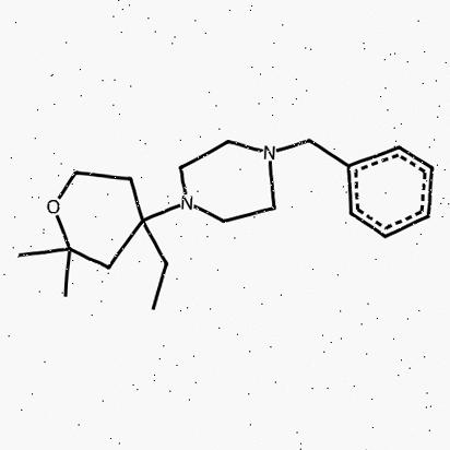 CCC1(N2CCN(Cc3ccccc3)CC2)CCOC(C)(C)C1